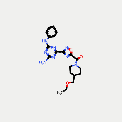 Nc1nc(Nc2ccccc2)nc(-c2noc(C(=O)N3CCC(COCC(F)(F)F)CC3)n2)n1